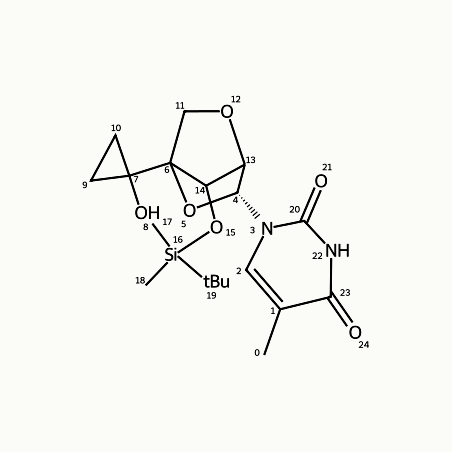 Cc1cn([C@@H]2OC3(C4(O)CC4)COC2C3O[Si](C)(C)C(C)(C)C)c(=O)[nH]c1=O